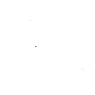 CC#CC[C@@H](C)[C@H](O)/C=C/[C@@H]1[C@H]2C/C(=C/NCCN(C)C)C[C@H]2C[C@H]1O